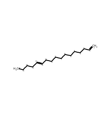 C=CCCCCCCCCCC=CCCCC